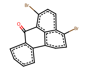 O=C1c2ccccc2-c2ccc(Br)c3ccc(Br)c1c23